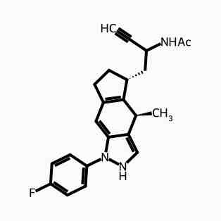 C#CC(C[C@H]1CCC2=C1[C@@H](C)C1=CNN(c3ccc(F)cc3)C1=C2)NC(C)=O